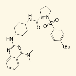 CN(C)c1nc(N[C@H]2CC[C@@H](NC(=O)[C@@H]3CCCN3S(=O)(=O)c3ccc(C(C)(C)C)cc3)CC2)nc2ccccc12